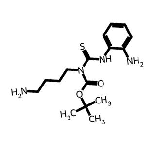 CC(C)(C)OC(=O)N(CCCCN)C(=S)Nc1ccccc1N